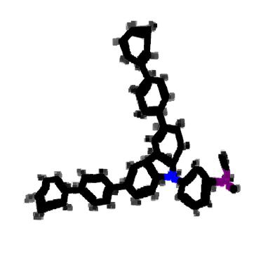 CP(C)c1cccc(-n2c3c(c4cc(-c5ccc(-c6ccccc6)cc5)ccc42)C=C(c2ccc(-c4ccccc4)cc2)CC3)c1